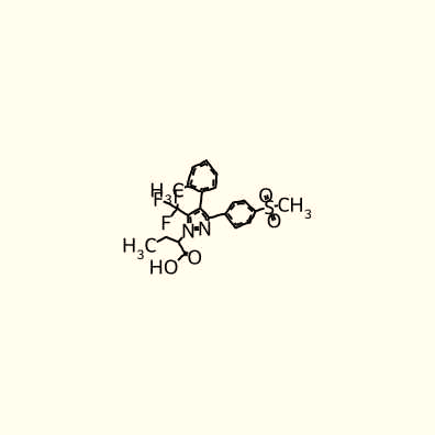 CCC(C(=O)O)n1nc(-c2ccc(S(C)(=O)=O)cc2)c(-c2ccccc2C)c1C(F)(F)F